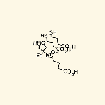 CCC(CO)(CO)CO.O=C(O)CCCS.O=C(O)CCCS.O=C(O)CCCS